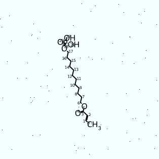 CC=CC(=O)OCCCCCCCCCCCCOP(=O)(O)O